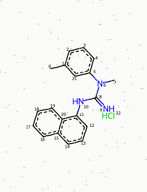 Cc1cccc(N(C)C(=N)Nc2cccc3ccccc23)c1.Cl